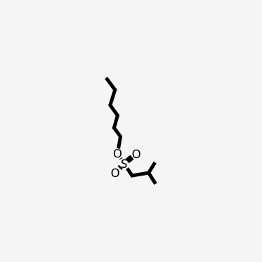 CCCCCCOS(=O)(=O)CC(C)C